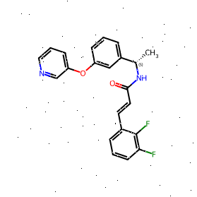 C[C@H](NC(=O)C=Cc1cccc(F)c1F)c1cccc(Oc2cccnc2)c1